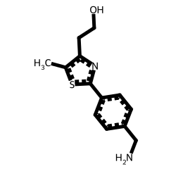 Cc1sc(-c2ccc(CN)cc2)nc1CCO